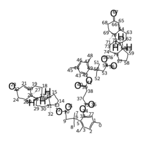 Cc1cc(C)c(C(C)(C)CC(=O)O[C@H]2CC[C@H]3[C@@H]4CCC5=CC(=O)CC[C@]5(C)[C@H]4CC[C@]23C)c(OC(=O)CCC(=O)Oc2cc(C)cc(C)c2C(C)(C)CC(=O)O[C@H]2CC[C@H]3[C@@H]4CCC5=CC(=O)CC[C@]5(C)[C@H]4CC[C@]23C)c1